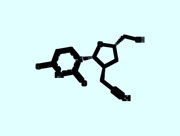 C#CC[C@@H]1C[C@@H](CO)O[C@H]1n1ccc(=O)[nH]c1=O